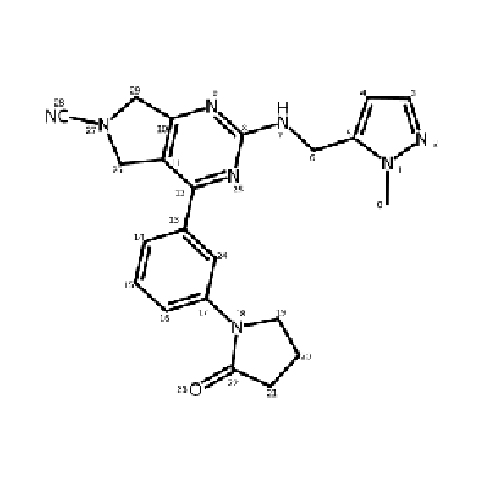 Cn1nccc1CNc1nc2c(c(-c3cccc(N4CCCC4=O)c3)n1)CN(C#N)C2